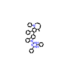 C=C1/C=C\C=C/CN(c2ccccc2)c2cc(-c3ccccc3)c(-c3ccc4c(c3)c3ccccc3n4C3=NC(c4ccccc4)NC(c4ccccc4)N3)cc21